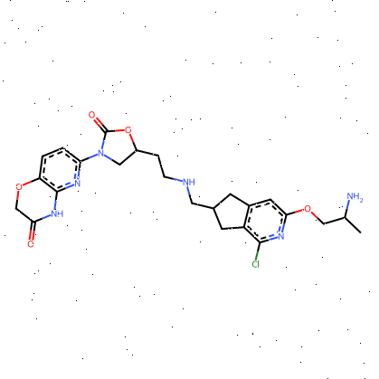 CC(N)COc1cc2c(c(Cl)n1)CC(CNCCC1CN(c3ccc4c(n3)NC(=O)CO4)C(=O)O1)C2